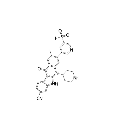 Cc1cc2c(=O)c3c4ccc(C#N)cc4[nH]c3n(C3CCNCC3)c2cc1-c1cncc(S(=O)(=O)F)c1